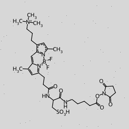 CC1=CC(CCC(=O)NC(CS(=O)(=O)O)C(=O)NCCCCC(=O)ON2C(=O)CCC2=O)=[N+]2C1=Cc1c(CCC[N+](C)(C)C)cc(C)n1[B-]2(F)F